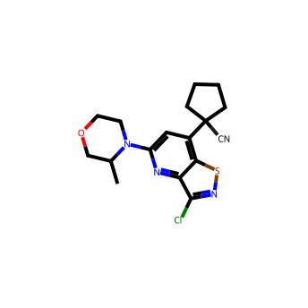 CC1COCCN1c1cc(C2(C#N)CCCC2)c2snc(Cl)c2n1